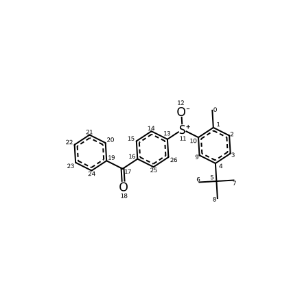 Cc1ccc(C(C)(C)C)cc1[S+]([O-])c1ccc(C(=O)c2ccccc2)cc1